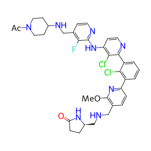 COc1nc(-c2cccc(-c3nccc(Nc4nccc(CNC5CCN(C(C)=O)CC5)c4F)c3Cl)c2Cl)ccc1CNC[C@H]1CCC(=O)N1